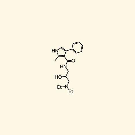 CCN(CC)CC(O)CNC(=O)c1c(-c2ccccc2)c[nH]c1C